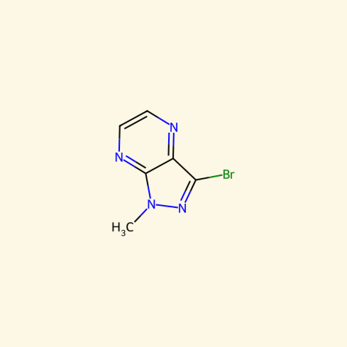 Cn1nc(Br)c2nccnc21